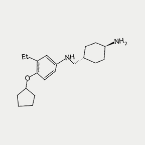 CCc1cc(NC[C@H]2CC[C@H](N)CC2)ccc1OC1CCCC1